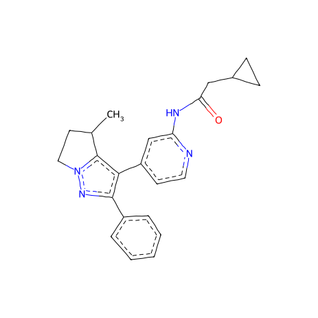 CC1CCn2nc(-c3ccccc3)c(-c3ccnc(NC(=O)CC4CC4)c3)c21